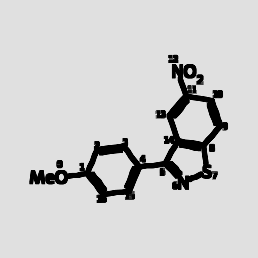 COc1ccc(-c2nsc3ccc([N+](=O)[O-])cc23)cc1